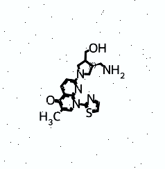 Cc1cn(-c2nccs2)c2nc(N3CC(CO)[C@@H](CN)C3)ccc2c1=O